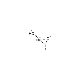 O[SiH]1OO1